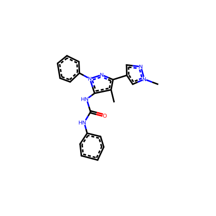 Cc1c(-c2cnn(C)c2)nn(-c2ccccc2)c1NC(=O)Nc1ccccc1